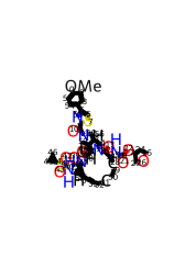 COc1ccc(-c2csc(C(=O)N3C[C@H]4CN5C(=O)[C@@H](NC(=O)O[C@@H]6CCOC6)CCCCC/C=C\[C@H]6C[C@@]6(C(=O)NS(=O)(=O)C6CC6)NC(=O)[C@@H]5[C@H]4C3)n2)cc1